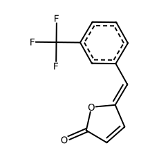 O=C1C=CC(=Cc2cccc(C(F)(F)F)c2)O1